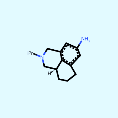 CC(C)N1Cc2cc(N)cc3c2[C@@H](CCC3)C1